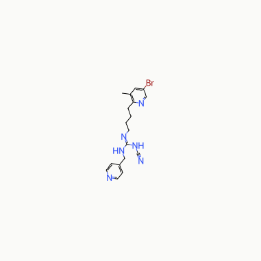 Cc1cc(Br)cnc1CCCCN=C(NC#N)NCc1ccncc1